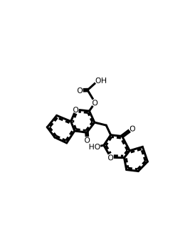 O=C(O)Oc1oc2ccccc2c(=O)c1Cc1c(O)oc2ccccc2c1=O